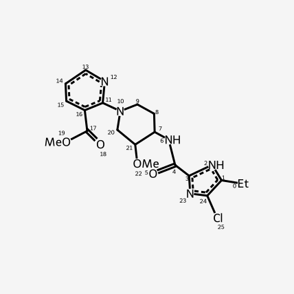 CCc1[nH]c(C(=O)NC2CCN(c3ncccc3C(=O)OC)CC2OC)nc1Cl